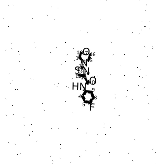 O=C(Nc1ccc(F)cc1)c1csc(N2CCOCC2)n1